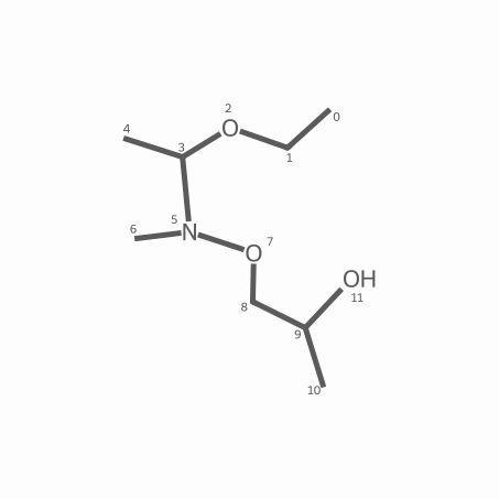 CCOC(C)N(C)OCC(C)O